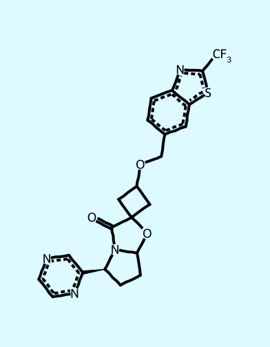 O=C1N2C(CC[C@H]2c2cnccn2)OC12CC(OCc1ccc3nc(C(F)(F)F)sc3c1)C2